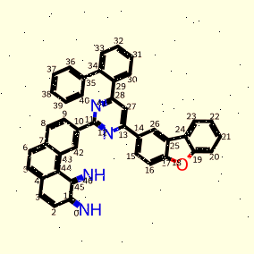 N=C1C=Cc2ccc3ccc(-c4nc(-c5ccc6oc7ccccc7c6c5)cc(-c5ccccc5-c5ccccc5)n4)cc3c2C1=N